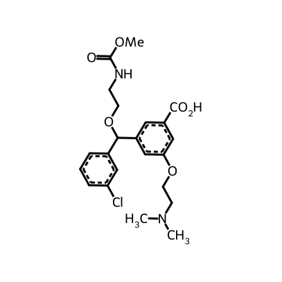 COC(=O)NCCOC(c1cccc(Cl)c1)c1cc(OCCN(C)C)cc(C(=O)O)c1